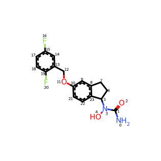 NC(=O)N(O)C1CCc2cc(OCc3cc(F)ccc3F)ccc21